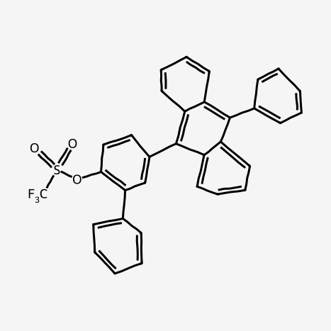 O=S(=O)(Oc1ccc(-c2c3ccccc3c(-c3ccccc3)c3ccccc23)cc1-c1ccccc1)C(F)(F)F